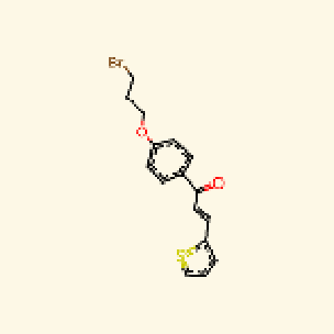 O=C(C=Cc1cccs1)c1ccc(OCCCBr)cc1